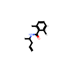 C=CCC(C)NC(=O)c1c(C)cccc1C